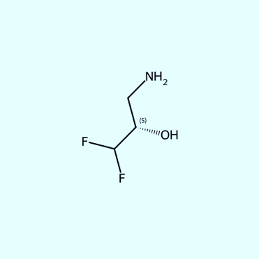 NC[C@H](O)C(F)F